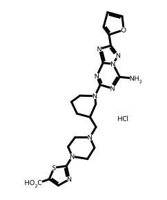 Cl.Nc1nc(N2CCCC(CN3CCN(c4ncc(C(=O)O)s4)CC3)C2)nc2nc(-c3ccco3)nn12